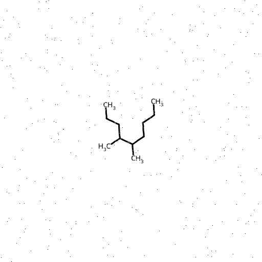 CCCCC(C)C(C)CCC